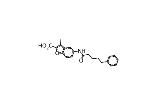 Cc1c(C(=O)O)oc2ccc(NC(=O)CCCCc3ccccc3)cc12